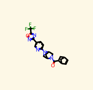 O=C(C1CC2C=CC1C2)N1CC2CC1CN2c1ccc(-c2noc(C(F)(F)F)n2)cn1